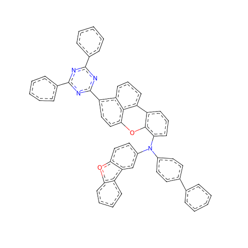 c1ccc(-c2ccc(N(c3ccc4oc5ccccc5c4c3)c3cccc4c3Oc3ccc(-c5nc(-c6ccccc6)nc(-c6ccccc6)n5)c5cccc-4c35)cc2)cc1